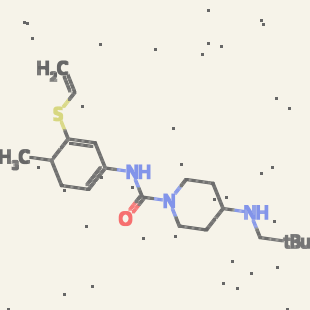 C=CSC1=CC(NC(=O)N2CCC(NCC(C)(C)C)CC2)=CCC1C